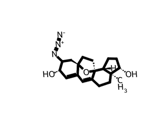 C[C@]12CCC3=CC4=C[C@H](O)C(N=[N+]=[N-])C[C@]45CC[C@]3(O5)[C@@H]1CC[C@@H]2O